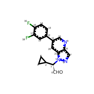 O=C[C@H](C1CC1)n1ncc2ncc(-c3ccc(F)c(F)c3)cc21